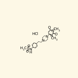 Cl.Cn1c(N2CCN(CCc3ccc(NS(C)(=O)=O)cc3)CC2)cc(=O)n(C)c1=O